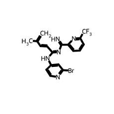 C=C(C)/C=C/C(=N\C(=N)c1cccc(C(F)(F)F)n1)Nc1ccnc(Br)c1